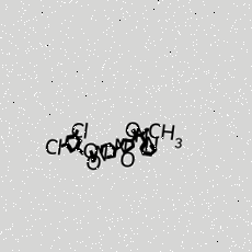 CCN(C(=O)C1CC(=O)N(C2CCN(C(=O)OCc3cc(Cl)cc(Cl)c3)CC2)C1)c1ccccn1